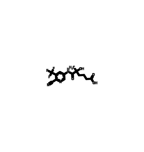 CC(O)(CCCC(=O)O)C(=O)Nc1cnc(C#N)c(C(F)(F)F)c1